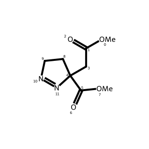 COC(=O)CC1(C(=O)OC)CCN=N1